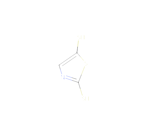 Sc1cnc(S)s1